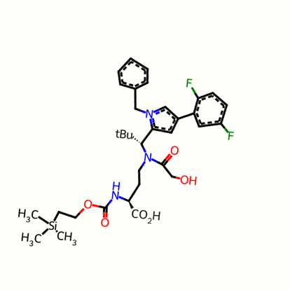 CC(C)(C)[C@H](c1cc(-c2cc(F)ccc2F)cn1Cc1ccccc1)N(CC[C@H](NC(=O)OCC[Si](C)(C)C)C(=O)O)C(=O)CO